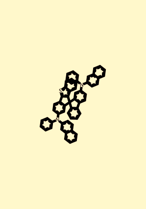 c1ccc(N(c2ccc3c(c2)C2(c4ccccc4-3)c3cc(N(c4ccccc4)c4ccc5ccccc5c4)ccc3-c3sc4ccccc4c32)c2ccc3ccccc3c2)cc1